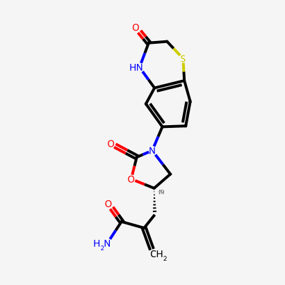 C=C(C[C@H]1CN(c2ccc3c(c2)NC(=O)CS3)C(=O)O1)C(N)=O